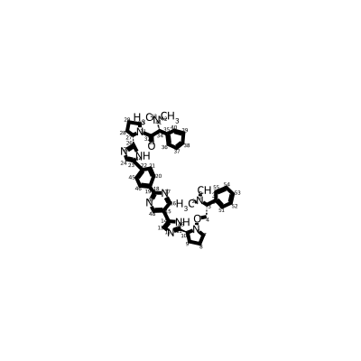 CN(C)[C@@H](CON1CCC[C@H]1c1ncc(-c2cnc(-c3ccc(-c4cnc([C@@H]5CCCN5C(=O)[C@@H](c5ccccc5)N(C)C)[nH]4)cc3)nc2)[nH]1)c1ccccc1